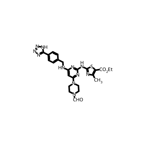 CCOC(=O)c1sc(Nc2nc(NCc3ccc(-c4nnn[nH]4)cc3)cc(N3CCN(C=O)CC3)n2)nc1C